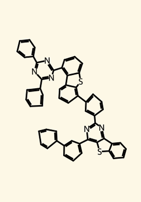 c1ccc(-c2cccc(-c3nc(-c4cccc(-c5cccc6c5sc5cccc(-c7nc(-c8ccccc8)nc(-c8ccccc8)n7)c56)c4)nc4c3sc3ccccc34)c2)cc1